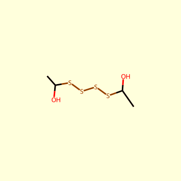 CC(O)SSSSC(C)O